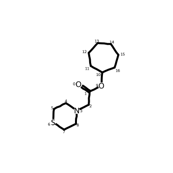 O=C(CN1CCSCC1)OC1CCCCCC1